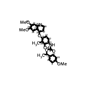 COc1ccc(C(C)OC(=O)Nc2ccc(Oc3ccnc4cc(OC)c(OC)cc34)c(C)c2C)cc1